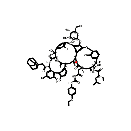 CCOc1ccc(NC(=O)NC(=O)C[C@@H]2CC(=O)[C@H](NC(=O)[C@H](CC)CC(C)C)[C@H](O)c3ccc(c(Cl)c3)Oc3cc4cc(c3O[C@@H]3O[C@H](CO)[C@@H](O)[C@H](O)[C@H]3O)Oc3ccc(cc3Cl)[C@@H](O)[C@@H]3NC(=O)[C@H](CC(=O)[C@@H]4NC2=O)c2ccc(O)c(c2)-c2c(O)cc(O)cc2[C@@H](C(=O)CC2C4CC5CC(C4)CC2C5)NC3=O)cc1